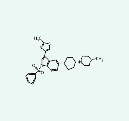 Cc1nc(-c2cn(S(=O)(=O)c3ccccc3)c3ncc([C@H]4CC[C@H](N5CCN(C)CC5)CC4)cc23)cs1